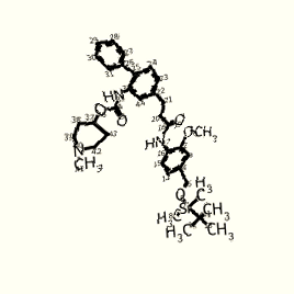 COc1cc(CO[Si](C)(C)C(C)(C)C)ccc1NC(=O)CCc1ccc(-c2ccccc2)c(NC(=O)OC2CCN(C)CC2)c1